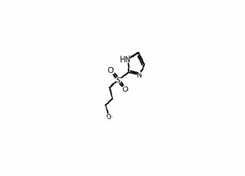 [O]CCCS(=O)(=O)c1ncc[nH]1